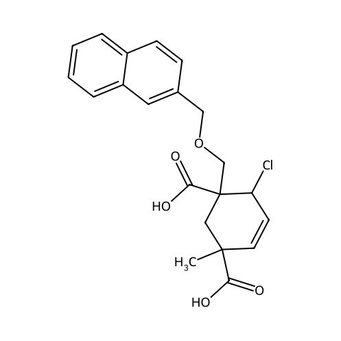 CC1(C(=O)O)C=CC(Cl)C(COCc2ccc3ccccc3c2)(C(=O)O)C1